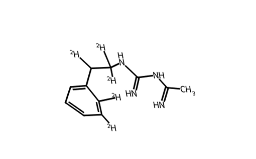 [2H]c1cccc(C([2H])C([2H])([2H])NC(=N)NC(C)=N)c1[2H]